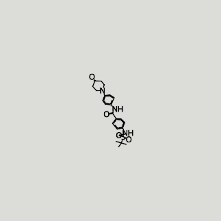 CC(C)(C)S(=O)(=O)Nc1ccc(C(=O)Nc2ccc(N3CCC(=O)CC3)cc2)cc1